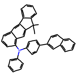 CC1(C)c2ccccc2-c2cc3cccc(N(c4ccccc4)c4ccc(-c5ccc6ccccc6c5)cc4)c3cc21